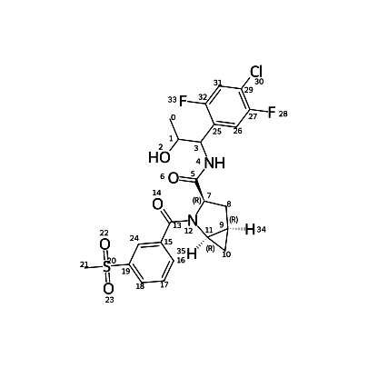 CC(O)C(NC(=O)[C@H]1C[C@H]2C[C@H]2N1C(=O)c1cccc(S(C)(=O)=O)c1)c1cc(F)c(Cl)cc1F